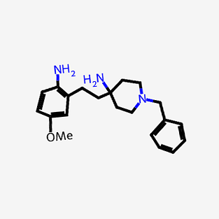 COc1ccc(N)c(CCC2(N)CCN(Cc3ccccc3)CC2)c1